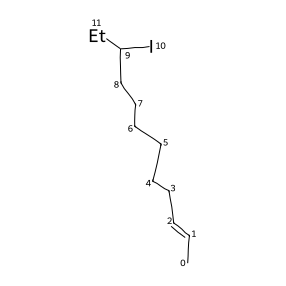 CC=CCCCCCCC(I)CC